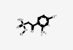 CCOP(=O)(O)CC(=O)c1ccc(Cl)cc1C